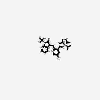 CC(C)[Si](OCc1cc(Cl)cnc1CC1C(=O)N(C(C)(C)C)c2ncccc21)(C(C)C)C(C)C